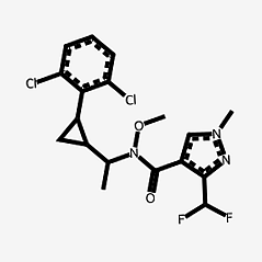 CON(C(=O)c1cn(C)nc1C(F)F)C(C)C1CC1c1c(Cl)cccc1Cl